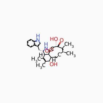 CC1=C(C)[C@H]2[C@H](Cc3c[nH]c4ccccc34)NC(=O)[C@]23C(=O)CC[C@H](O)C(=O)/C(C)=C/[C@@H](C)C/C=C/[C@H]3[C@@H]1O